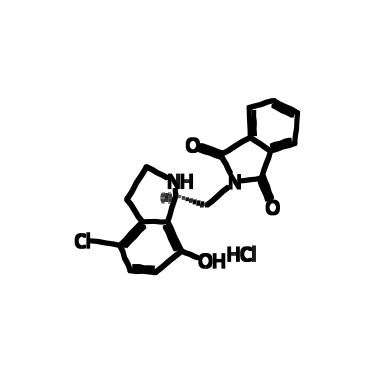 Cl.O=C1c2ccccc2C(=O)N1C[C@H]1NCCc2c(Cl)ccc(O)c21